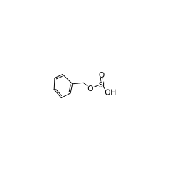 O=[Si](O)OCc1ccccc1